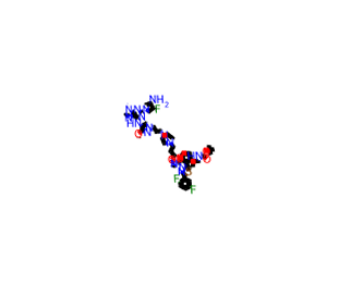 COc1nn(CCCN2CCN(CCCON(C)C(=O)N3N=C(c4cc(F)ccc4F)S[C@@]3(CCCNC(=O)OC(C)(C)C)c3ccccc3)CC2)cc1Nc1nc(N2C[C@@H](N)[C@H](F)C2)nc2c1ncn2C